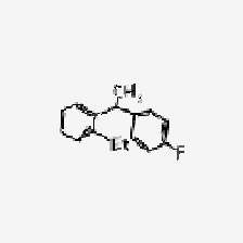 CCc1ccccc1C(C)c1ccc(F)cc1